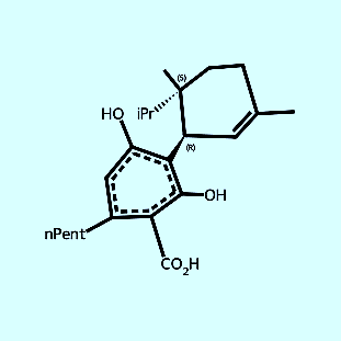 CCCCCc1cc(O)c([C@@H]2C=C(C)CC[C@@]2(C)C(C)C)c(O)c1C(=O)O